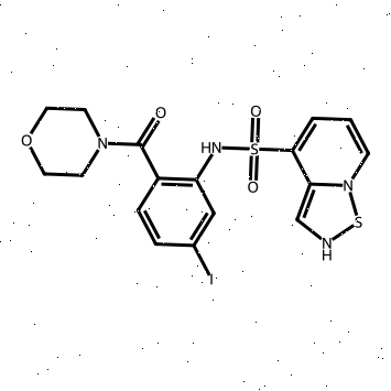 O=C(c1ccc(I)cc1NS(=O)(=O)C1=CC=CN2SNC=C12)N1CCOCC1